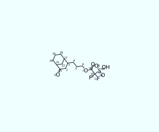 O=C1CC(CCCOC(=O)C(F)(F)S(=O)(=O)O)C2CCCC1C2